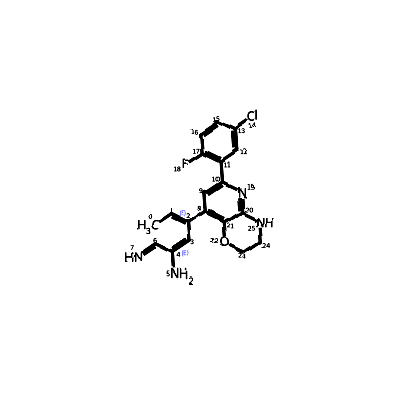 C/C=C(\C=C(\N)C=N)c1cc(-c2cc(Cl)ccc2F)nc2c1OCCN2